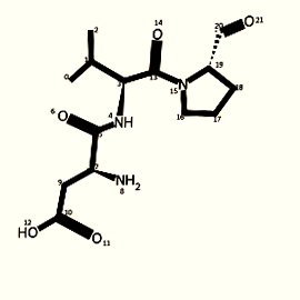 CC(C)[C@H](NC(=O)[C@@H](N)CC(=O)O)C(=O)N1CCC[C@H]1[C]=O